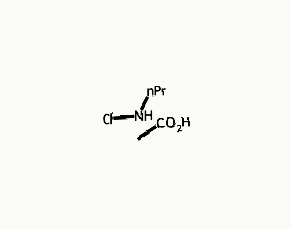 CC(=O)O.CCCNCl